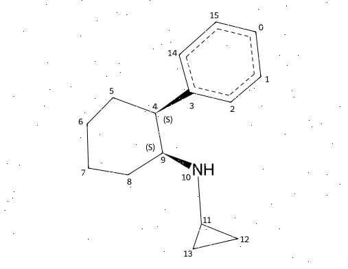 c1ccc([C@@H]2CCCC[C@@H]2NC2CC2)cc1